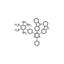 Bc1c(B)c(B)c(-c2ccc(-c3nc(-c4ccccc4)nc(-c4ccc5oc6cccc(-n7c8ccccc8c8ccccc87)c6c5c4)n3)cc2)c(B)c1B